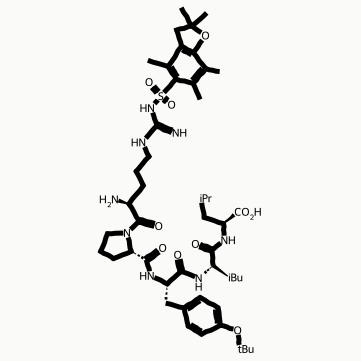 CC[C@H](C)[C@H](NC(=O)[C@H](Cc1ccc(OC(C)(C)C)cc1)NC(=O)[C@@H]1CCCN1C(=O)[C@@H](N)CCCNC(=N)NS(=O)(=O)c1c(C)c(C)c2c(c1C)CC(C)(C)O2)C(=O)N[C@@H](CC(C)C)C(=O)O